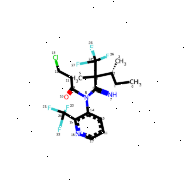 CC[C@@H](C)C(C)(C(=N)N(C(=O)CCCl)c1cccnc1C(F)(F)F)C(F)(F)F